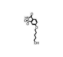 O=C1NS(=O)(=O)c2cc(OCCCCCO)ccc21